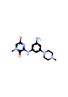 CN1CCN(c2cc(N)cc(Nc3nc(Br)cn(C)c3=O)c2)CC1